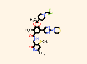 CSc1cc(C)[nH]c(=O)c1CNC(=O)c1cc(-c2cnc(N3CCSCC3)nc2)c2c(c1C)OC(C)(C1CCN(CC(F)(F)F)CC1)O2